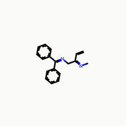 C=C/C(CN=C(c1ccccc1)c1ccccc1)=N\C